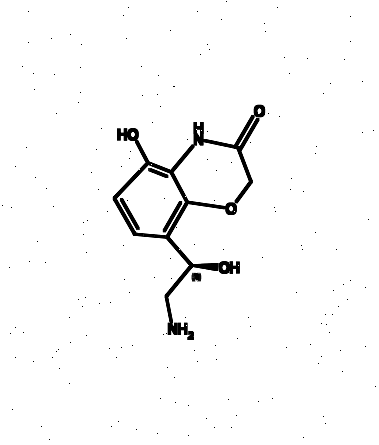 NC[C@H](O)c1ccc(O)c2c1OCC(=O)N2